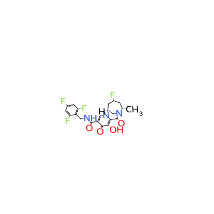 C[C@H]1CC(F)C[C@H]2CN1C(=O)c1c(O)c(=O)c(C(=O)NCc3c(F)cc(F)cc3F)cn12